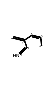 C=C(C=N)/C=C\C